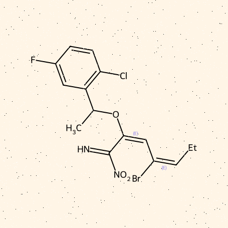 CC/C=C(Br)\C=C(\OC(C)c1cc(F)ccc1Cl)C(=N)[N+](=O)[O-]